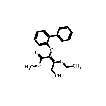 CCOC(CC)=C(Oc1ccccc1-c1ccccc1)C(=O)OC